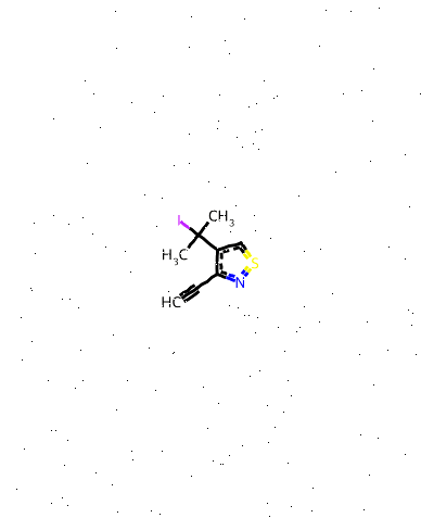 C#Cc1nscc1C(C)(C)I